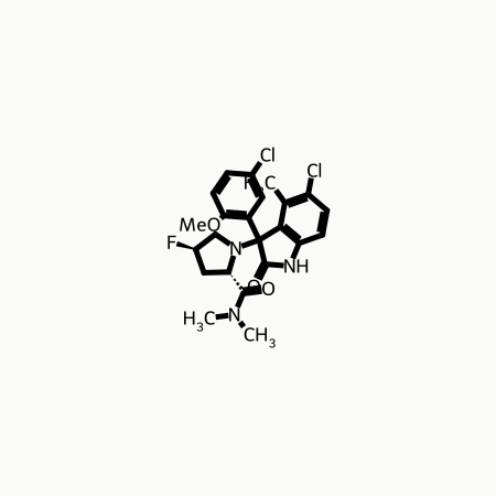 COc1ccc(Cl)cc1C1(N2C[C@H](F)C[C@H]2C(=O)N(C)C)C(=O)Nc2ccc(Cl)c(C)c21